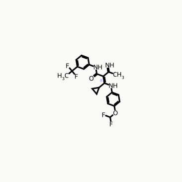 CC(=N)/C(C(=O)Nc1cccc(C(C)(F)F)c1)=C(\Nc1ccc(OC(F)F)cc1)C1CC1